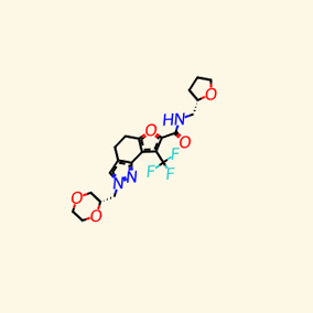 O=C(NC[C@@H]1CCCO1)c1oc2c(c1C(F)(F)F)-c1nn(C[C@H]3COCCO3)cc1CC2